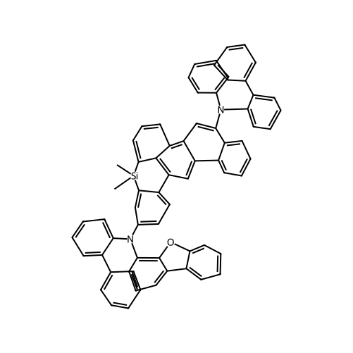 C[Si]1(C)c2cc(N(c3ccccc3-c3ccccc3)c3cccc4c3oc3ccccc34)ccc2-c2cc3c4ccccc4c(N(c4ccccc4)c4ccccc4-c4ccccc4)cc3c3cccc1c23